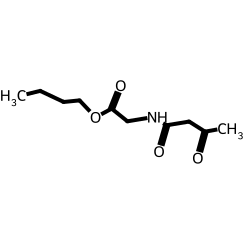 CCCCOC(=O)CNC(=O)CC(C)=O